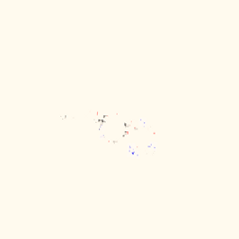 CCO[C@@H](O[C@H]1[C@@H](CCn2cc(-c3cccnc3)nn2)C[C@@H](C)C(=O)/C=C/C(C)=C/[C@H](COC2OC(C)C(O)C(OC)C2OC)[C@@H](CC)OC(=O)CC[C@@H]1C)C(O)C([C@@H](C)O)N(C)C